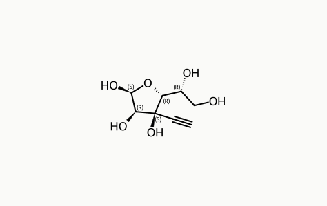 C#C[C@@]1(O)[C@@H]([C@H](O)CO)O[C@H](O)[C@@H]1O